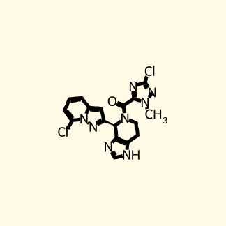 Cn1nc(Cl)nc1C(=O)N1CCc2[nH]cnc2[C@H]1c1cc2cccc(Cl)n2n1